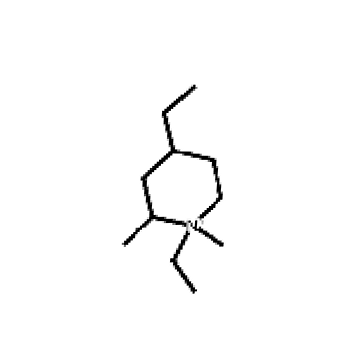 CCC1CC[N+](C)(CC)C(C)C1